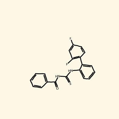 O=C(NC(=S)Nc1ccccc1-c1ccc(F)cc1F)c1ccccc1